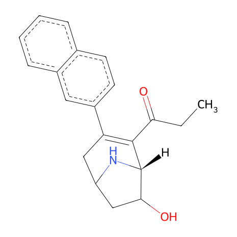 CCC(=O)C1=C(c2ccc3ccccc3c2)CC2CC(O)[C@@H]1N2